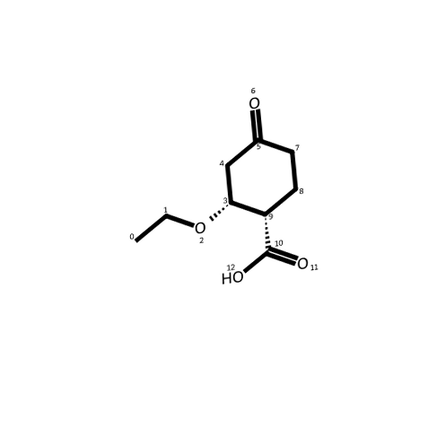 CCO[C@@H]1CC(=O)CC[C@@H]1C(=O)O